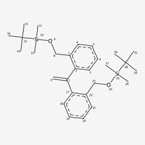 C=C(c1ccccc1CO[Si](C)(C)C(C)(C)C)c1ccccc1CO[Si](C)(C)C(C)(C)C